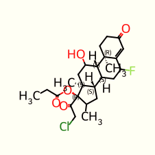 CCC(=O)O[C@]1(C(=O)CCl)C(C)C[C@H]2[C@@H]3CC(F)C4=CC(=O)CC[C@]4(C)[C@H]3C(O)C[C@@]21C